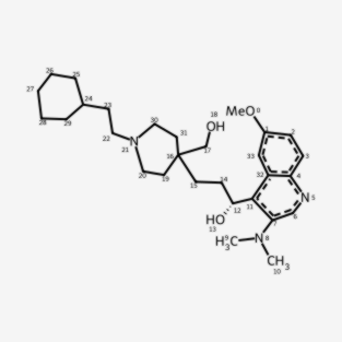 COc1ccc2ncc(N(C)C)c([C@H](O)CCC3(CO)CCN(CCC4CCCCC4)CC3)c2c1